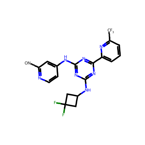 O=Nc1cc(Nc2nc(NC3CC(F)(F)C3)nc(-c3cccc(C(F)(F)F)n3)n2)ccn1